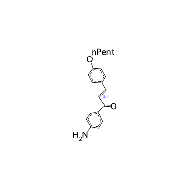 CCCCCOc1ccc(/C=C/C(=O)c2ccc(N)cc2)cc1